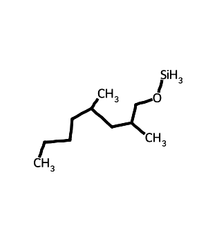 CCCCC(C)CC(C)CO[SiH3]